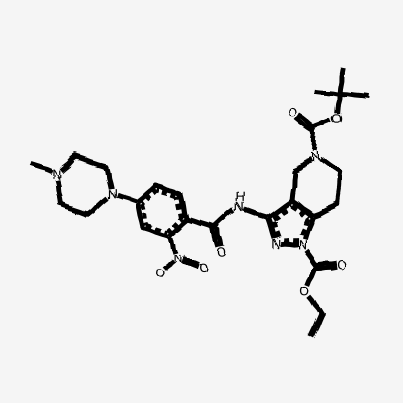 CCOC(=O)n1nc(NC(=O)c2ccc(N3CCN(C)CC3)cc2[N+](=O)[O-])c2c1CCN(C(=O)OC(C)(C)C)C2